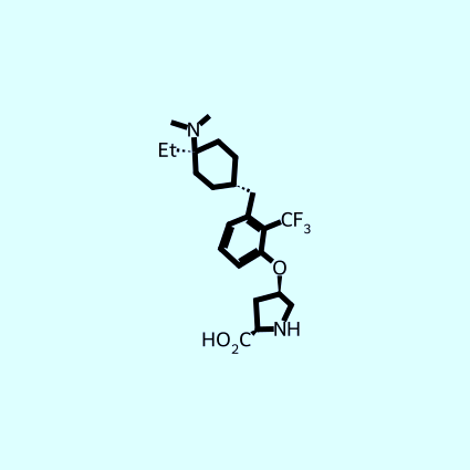 CC[C@]1(N(C)C)CC[C@H](Cc2cccc(O[C@H]3CN[C@@H](C(=O)O)C3)c2C(F)(F)F)CC1